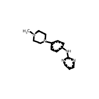 CN1CCN(c2ccc(Nc3ncccn3)cc2)CC1